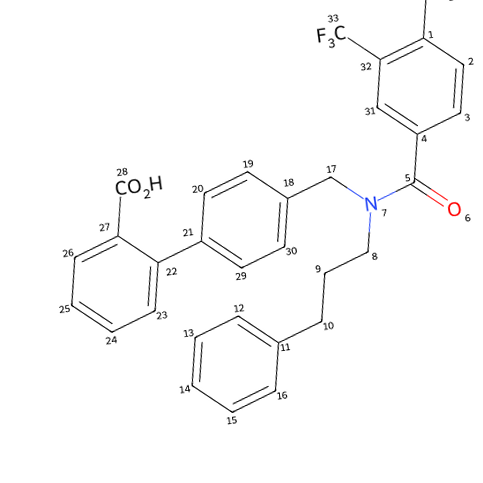 Cc1ccc(C(=O)N(CCCc2ccccc2)Cc2ccc(-c3ccccc3C(=O)O)cc2)cc1C(F)(F)F